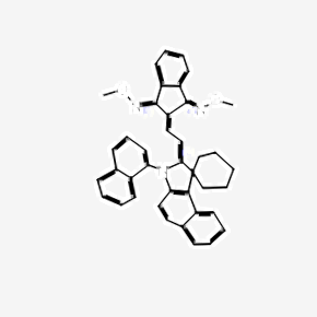 CO/N=C1C(=C/C=C2\N(c3cccc4ccccc34)c3ccc4ccccc4c3C23CCCCC3)/C(=N/OC)c2ccccc2/1